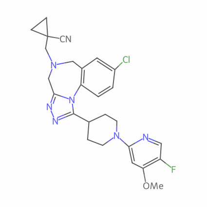 COc1cc(N2CCC(c3nnc4n3-c3ccc(Cl)cc3CN(CC3(C#N)CC3)C4)CC2)ncc1F